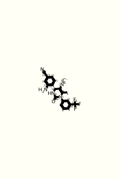 [C-]#[N+]C1=C(C)N(c2cccc(C(F)(F)F)c2)C(=O)N[C@@H]1c1ccc(C#N)cc1N